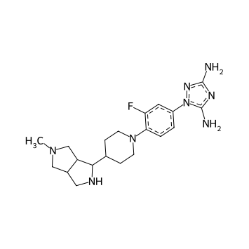 CN1CC2CNC(C3CCN(c4ccc(-n5nc(N)nc5N)cc4F)CC3)C2C1